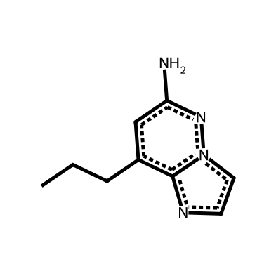 CCCc1cc(N)nn2ccnc12